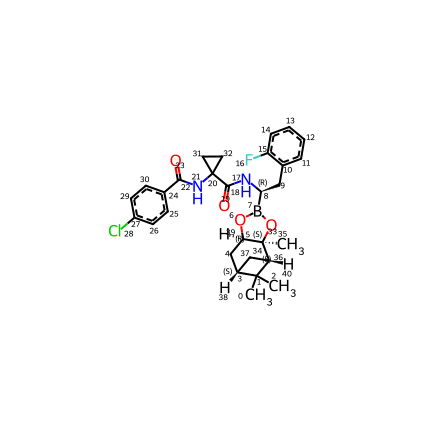 CC1(C)[C@@H]2C[C@H]3OB([C@H](Cc4ccccc4F)NC(=O)C4(NC(=O)c5ccc(Cl)cc5)CC4)O[C@@]3(C)[C@H]1C2